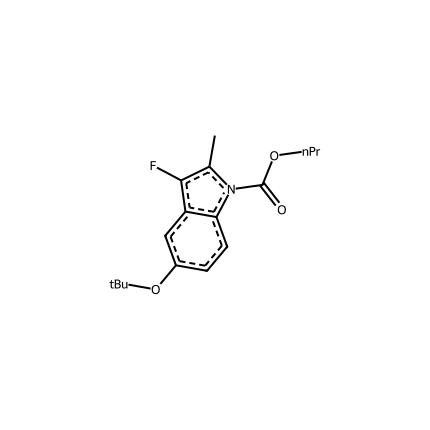 CCCOC(=O)n1c(C)c(F)c2cc(OC(C)(C)C)ccc21